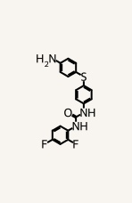 Nc1ccc(Sc2ccc(NC(=O)Nc3ccc(F)cc3F)cc2)cc1